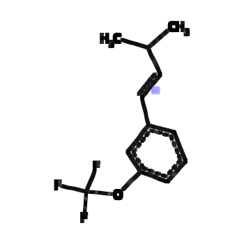 CC(C)/C=C/c1cccc(OC(F)(F)F)c1